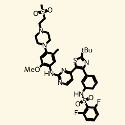 COc1cc(N2CCN(CCS(C)(=O)=O)CC2)c(C)cc1Nc1nccc(-c2sc(C(C)(C)C)nc2C2=CC(NS(=O)(=O)c3c(F)cccc3F)CC=C2)n1